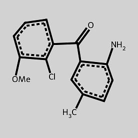 COc1cccc(C(=O)c2cc(C)ccc2N)c1Cl